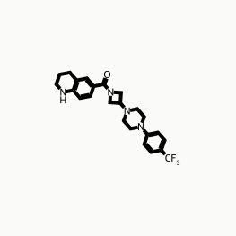 O=C(c1ccc2c(c1)CCCN2)N1CC(N2CCN(c3ccc(C(F)(F)F)cc3)CC2)C1